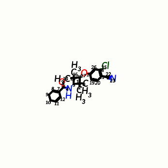 CC1(C)[C@H](NC(=O)C2=CCCC=C2)C(C)(C)[C@H]1Oc1ccc(C#N)c(Cl)c1